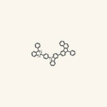 c1ccc(-c2nc(-c3ccc(-n4c5ccccc5c5cc(-c6ccc7c(c6)-c6c(ccc8ccccc68)C7c6ccccc6)ccc54)cc3)nc3ccccc23)cc1